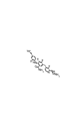 C#Cc1ccc(Nc2c(C(N)=O)cc(Cc3ccnc(NSN)c3F)c(F)c2F)c(F)c1